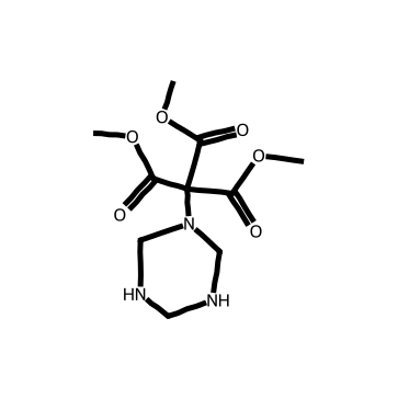 COC(=O)C(C(=O)OC)(C(=O)OC)N1CNCNC1